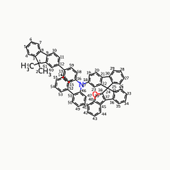 CC1(C)c2ccccc2-c2ccc(-c3ccc(N(c4ccc5c(c4)C4(c6ccccc6-5)c5ccccc5-c5c4oc4ccccc54)c4ccccc4-c4ccccc4)cc3)cc21